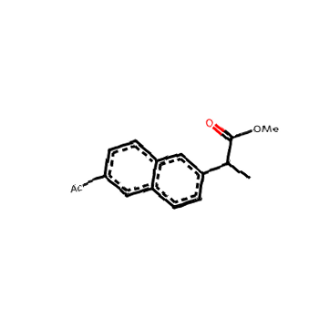 COC(=O)C(C)c1ccc2cc(C(C)=O)ccc2c1